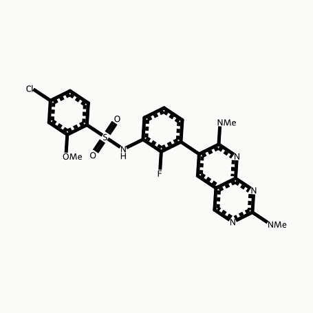 CNc1ncc2cc(-c3cccc(NS(=O)(=O)c4ccc(Cl)cc4OC)c3F)c(NC)nc2n1